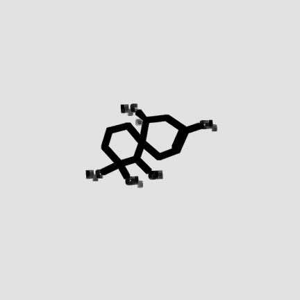 CC1=CCC2(CCCC(C)(C)C2O)[C@@H](C)C1